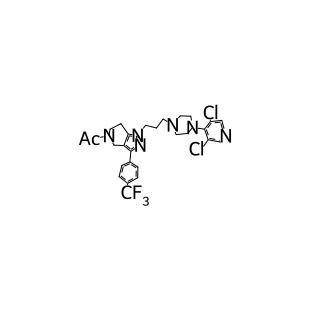 CC(=O)N1CCc2c(c(-c3ccc(C(F)(F)F)cc3)nn2CCCN2CCN(c3c(Cl)cncc3Cl)CC2)C1